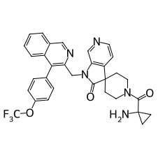 NC1(C(=O)N2CCC3(CC2)C(=O)N(Cc2ncc4ccccc4c2-c2ccc(OC(F)(F)F)cc2)c2cnccc23)CC1